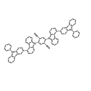 N#Cc1cc(-n2c3ccccc3c3c(-c4ccc5c(c4)c4ccccc4n5-c4ccccc4)cccc32)c(C#N)cc1-n1c2ccccc2c2c(-c3ccc4c(c3)c3ccccc3n4-c3ccccc3)cccc21